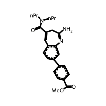 CCCN(CCC)C(=O)C1=Cc2ccc(-c3ccc(C(=O)OC)cc3)cc2N=C(N)C1